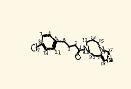 O=C(CCCc1ccc(Cl)cc1)N1CCCn2cncc2C1